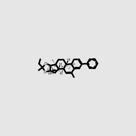 CCC1(C)O[C@H]2C[C@H]3[C@@H]4C=C(C)C5=CC(c6ccccc6)=CC[C@]5(C)[C@H]4CC[C@]3(C)[C@]2(C(C)=O)O1